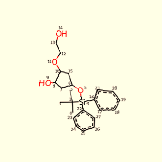 CC(C)(C)[Si](OC1CC(O)C(OCCO)C1)(c1ccccc1)c1ccccc1